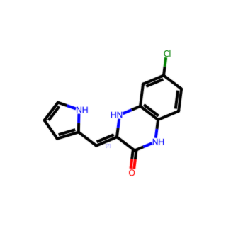 O=C1Nc2ccc(Cl)cc2N/C1=C\c1ccc[nH]1